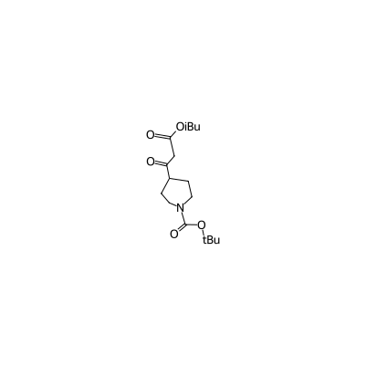 CC(C)COC(=O)CC(=O)C1CCN(C(=O)OC(C)(C)C)CC1